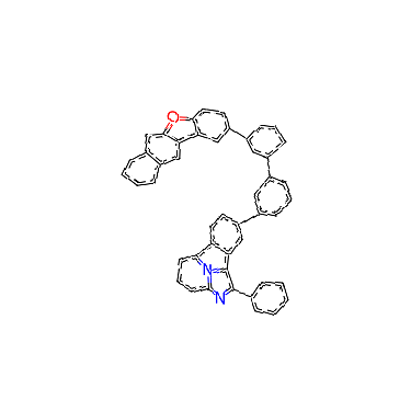 c1ccc(-c2nc3cccc4c5ccc(-c6cccc(-c7cccc(-c8ccc9oc%10cc%11ccccc%11cc%10c9c8)c7)c6)cc5c2n34)cc1